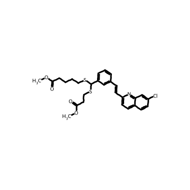 COC(=O)CCCCSC(SCCC(=O)OC)c1cccc(C=Cc2ccc3ccc(Cl)cc3n2)c1